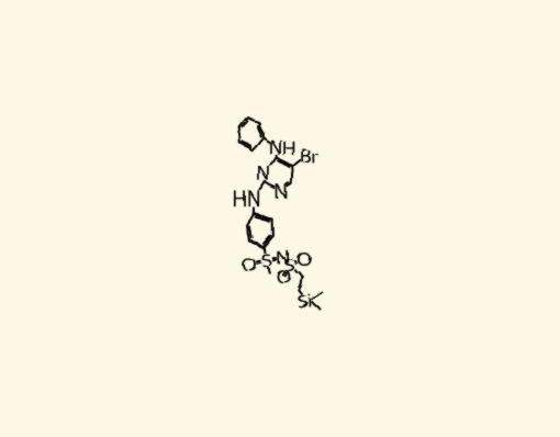 C[Si](C)(C)CCS(=O)(=O)N=S(C)(=O)c1ccc(Nc2ncc(Br)c(Nc3ccccc3)n2)cc1